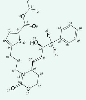 CC(C)OC(=O)c1ccc(CCCN2C(=O)OCC[C@@H]2C=C[C@@H](O)C(F)(F)c2ccccc2)s1